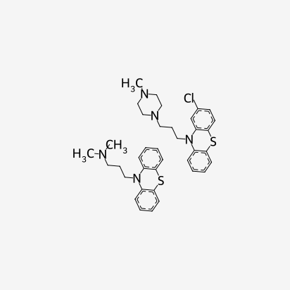 CN(C)CCCN1c2ccccc2Sc2ccccc21.CN1CCN(CCCN2c3ccccc3Sc3ccc(Cl)cc32)CC1